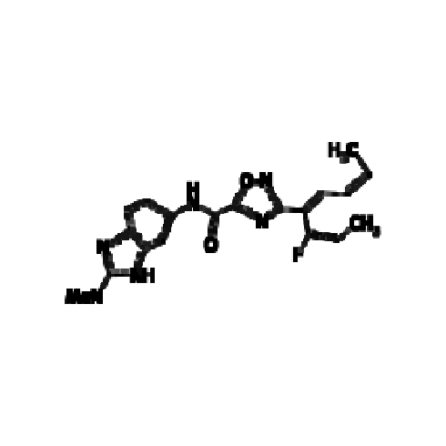 C\C=C/C=C(\C(F)=C/C)c1noc(C(=O)Nc2ccc3nc(NC)[nH]c3c2)n1